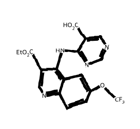 CCOC(=O)c1cnc2ccc(OC(F)(F)F)cc2c1Nc1ncncc1C(=O)O